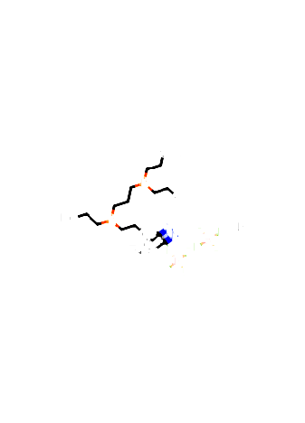 CC#N.CC#N.CCCP(CCC)CCCP(CCC)CCC.F[B-](F)(F)F.F[B-](F)(F)F.[Pd+2]